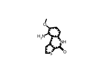 COc1ccc2[nH]c(=O)c3sccc3c2c1N